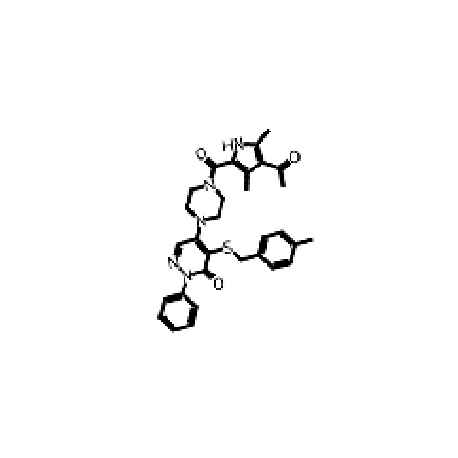 CC(=O)c1c(C)[nH]c(C(=O)N2CCN(c3cnn(-c4ccccc4)c(=O)c3SCc3ccc(C)cc3)CC2)c1C